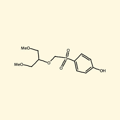 COCC(COC)OCS(=O)(=O)c1ccc(O)cc1